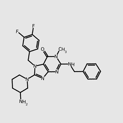 Cn1c(NCc2ccccc2)nc2nc(N3CCCC(N)C3)n(Cc3ccc(F)c(F)c3)c2c1=O